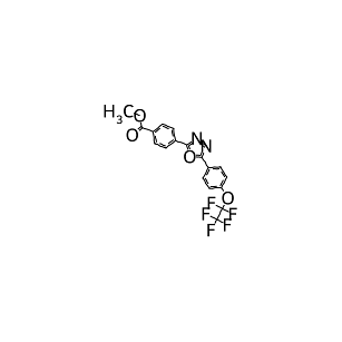 COC(=O)c1ccc(-c2nnc(-c3ccc(OC(F)(F)C(F)(F)F)cc3)o2)cc1